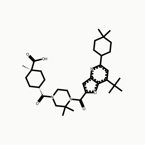 CC1(C)CCC(c2cc(C(C)(C)C)c3oc(C(=O)N4CCN(C(=O)[C@H]5CC[C@](C)(C(=O)O)CC5)CC4(C)C)cc3n2)CC1